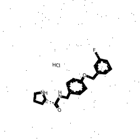 Cl.O=C(NCc1ccc(OCc2cccc(F)c2)cc1)[C@@H]1CCCN1